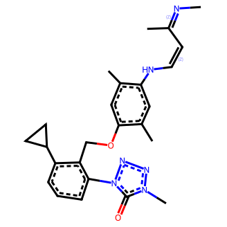 C/N=C(C)\C=C/Nc1cc(C)c(OCc2c(C3CC3)cccc2-n2nnn(C)c2=O)cc1C